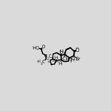 CC(CCC(=O)O)[C@H]1CC[C@H]2[C@@H]3CC[C@@H]4[C@H](Br)C(=O)CC[C@]4(C)[C@H]3CC[C@]12C